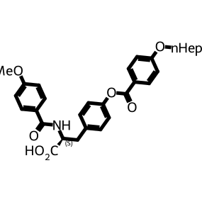 CCCCCCCOc1ccc(C(=O)Oc2ccc(C[C@H](NC(=O)c3ccc(OC)cc3)C(=O)O)cc2)cc1